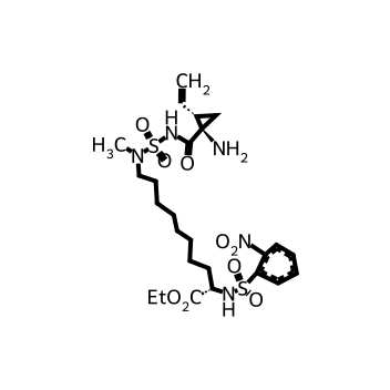 C=C[C@@H]1C[C@]1(N)C(=O)NS(=O)(=O)N(C)CCCCCCCC[C@H](NS(=O)(=O)c1ccccc1[N+](=O)[O-])C(=O)OCC